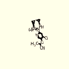 CC(C#N)Oc1cnc(N(PC2CC2)PC2CC2)cc1Cl